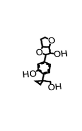 OCC1(c2ccc(C3OC4CCOC4C3O)cc2O)CC1